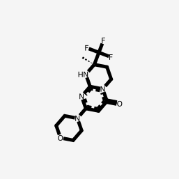 C[C@]1(C(F)(F)F)CCn2c(nc(N3CCOCC3)cc2=O)N1